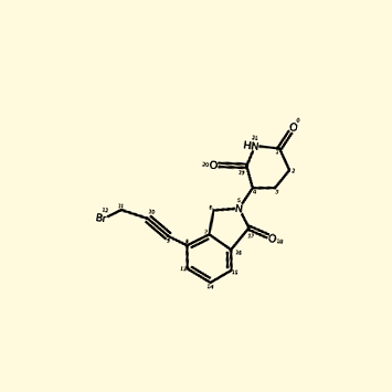 O=C1CCC(N2Cc3c(C#CCBr)cccc3C2=O)C(=O)N1